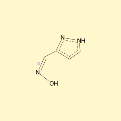 O/N=C\c1cc[nH]n1